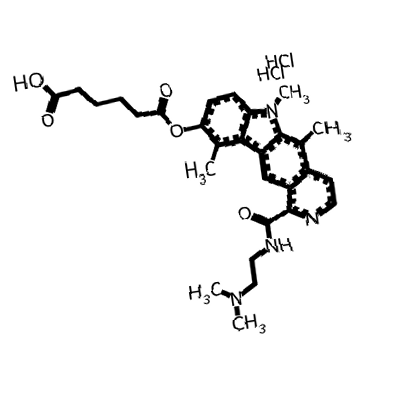 Cc1c(OC(=O)CCCCC(=O)O)ccc2c1c1cc3c(C(=O)NCCN(C)C)nccc3c(C)c1n2C.Cl.Cl